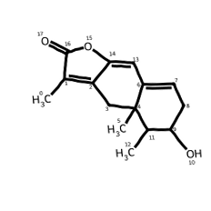 CC1=C2CC3(C)C(=CCC(O)C3C)C=C2OC1=O